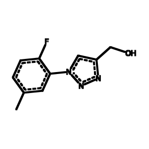 Cc1ccc(F)c(-n2cc(CO)nn2)c1